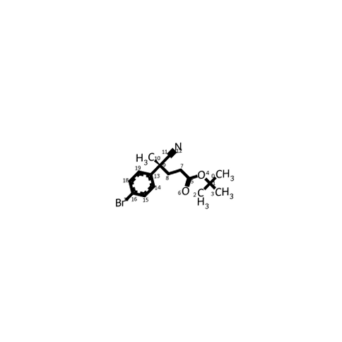 CC(C)(C)OC(=O)CC[C@@](C)(C#N)c1ccc(Br)cc1